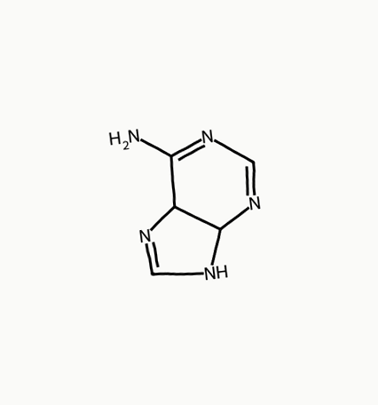 NC1=NC=NC2NC=NC12